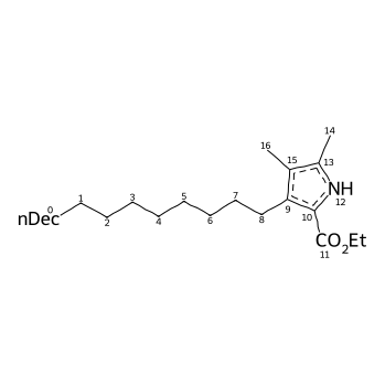 CCCCCCCCCCCCCCCCCCc1c(C(=O)OCC)[nH]c(C)c1C